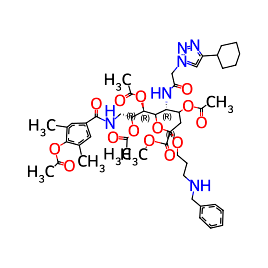 COC(=O)[C@@]1(OCCCNCc2ccccc2)CC(OC(C)=O)[C@@H](NC(=O)Cn2cc(C3CCCCC3)nn2)C([C@H](OC(C)=O)[C@@H](CNC(=O)c2cc(C)c(OC(C)=O)c(C)c2)OC(C)=O)O1